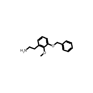 COc1c(CCN)cccc1OCc1ccccc1